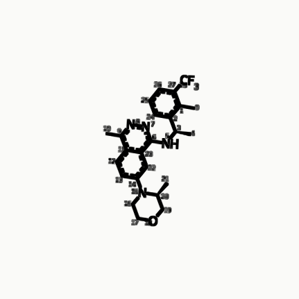 Cc1c([C@@H](C)Nc2nnc(C)c3ccc(N4CCOC[C@@H]4C)cc23)cccc1C(F)(F)F